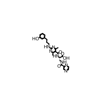 Cc1nc(NCCCc2cccc(O)c2)nc(C)c1C(=O)N[C@@H](CNC(=O)c1cnccn1)C(=O)O